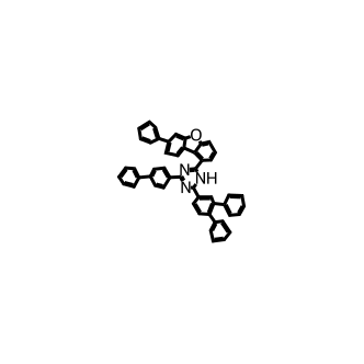 c1ccc(-c2ccc(C3=NC(c4ccc(-c5ccccc5)c(-c5ccccc5)c4)NC(c4cccc5oc6cc(-c7ccccc7)ccc6c45)=N3)cc2)cc1